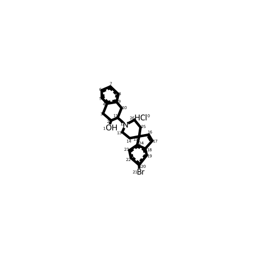 Cl.OC1Cc2ccccc2CC1N1CCC2(C=Cc3cc(Br)ccc32)CC1